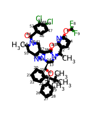 CC(c1ccc(OC(F)F)nc1)N1C[C@@H](CO[Si](c2ccccc2)(c2ccccc2)C(C)(C)C)n2nc3c(c2C1=O)CN(C(=O)c1ccc(Cl)c(Cl)c1)[C@H](C)C3